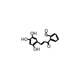 O=Nc1ccccc1C(=O)/C=C/c1cc(O)c(O)cc1O